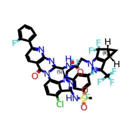 CS(=O)(=O)Nc1nn(CC(F)(F)F)c2c(-n3c([C@H](Cc4cc(F)cc(F)c4)NC(=O)Cn4nc(C(F)(F)F)c5c4C(F)(F)[C@@H]4C[C@H]54)nc4nc(-c5ccccc5F)ccc4c3=O)ccc(Cl)c12